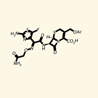 CC(=O)OCC1=C(C(=O)O)N2C(=O)[C@@H](NC(=O)C(=NOCC(N)=O)c3nc(N)sc3F)[C@H]2SC1